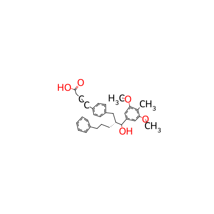 COc1cc(C(O)[C@H](CCCc2ccccc2)Cc2ccc(CCCC(=O)O)cc2)cc(OC)c1C